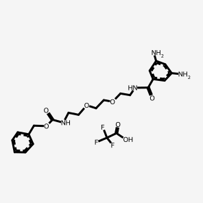 Nc1cc(N)cc(C(=O)NCCOCCOCCNC(=O)OCc2ccccc2)c1.O=C(O)C(F)(F)F